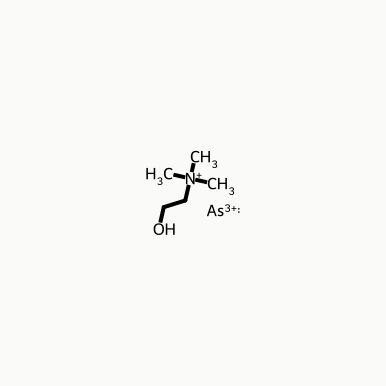 C[N+](C)(C)CCO.[As+3]